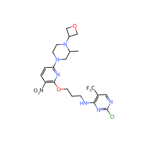 CC1CN(c2ccc([N+](=O)[O-])c(OCCCNc3nc(Cl)ncc3C(F)(F)F)n2)CCN1C1COC1